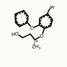 CC(C)c1ccc(O[C@H](C)CCO)c(Oc2ccccc2)c1